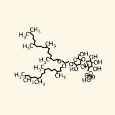 CC(C)CCCC(C)CCCC(C)CCCC(C)CCOCC(CO[C@@H]1OC(CO)[C@@H](O[C@@H]2OC(COS(=O)(=O)O)[C@H](O)[C@H](O)C2O)[C@H](O)C1O)OCCC(C)CCCC(C)CCCC(C)CCCC(C)C